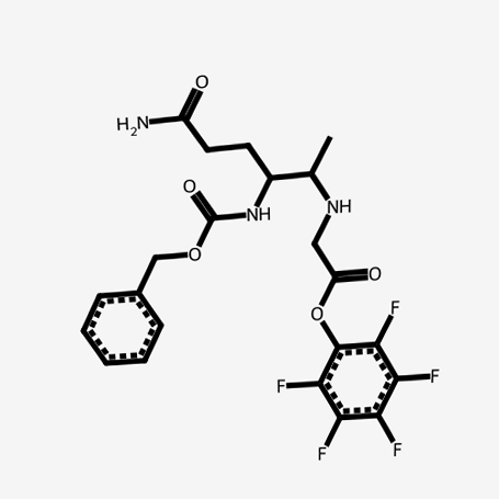 CC(NCC(=O)Oc1c(F)c(F)c(F)c(F)c1F)C(CCC(N)=O)NC(=O)OCc1ccccc1